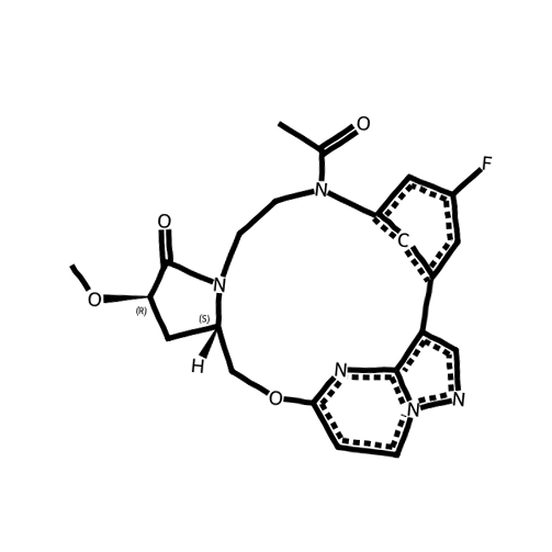 CO[C@@H]1C[C@H]2COc3ccn4ncc(c4n3)-c3cc(F)cc(c3)N(C(C)=O)CCN2C1=O